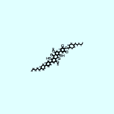 CCCCCC1CCC(COc2c(Cl)cc(-c3cc(OC)c4c(c3O)C(=O)c3c(OC)cc(-c5ccc(C6CCC(CCCCC)CC6)cc5)c(O)c3C4=O)cc2Cl)CC1